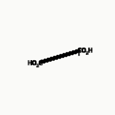 O=C(O)CCCCCCCCCCCCCCCCCCCCCCCC(I)C(=O)O